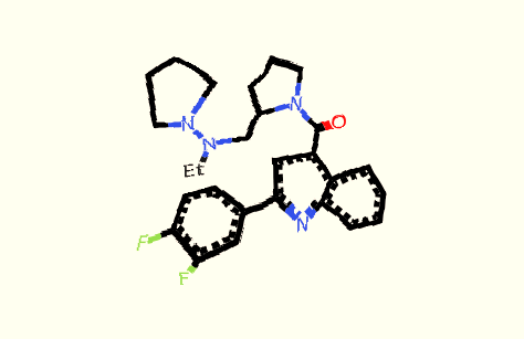 CCN(CC1CCCN1C(=O)c1cc(-c2ccc(F)c(F)c2)nc2ccccc12)N1CCCC1